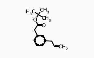 C=CCc1cccc(CC(=O)OC(C)(C)C)c1